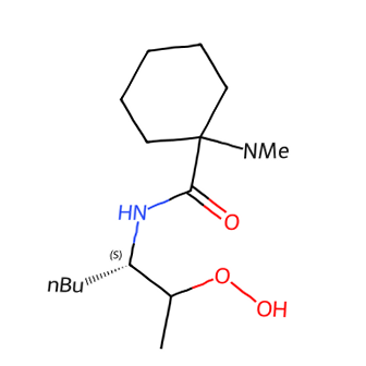 CCCC[C@H](NC(=O)C1(NC)CCCCC1)C(C)OO